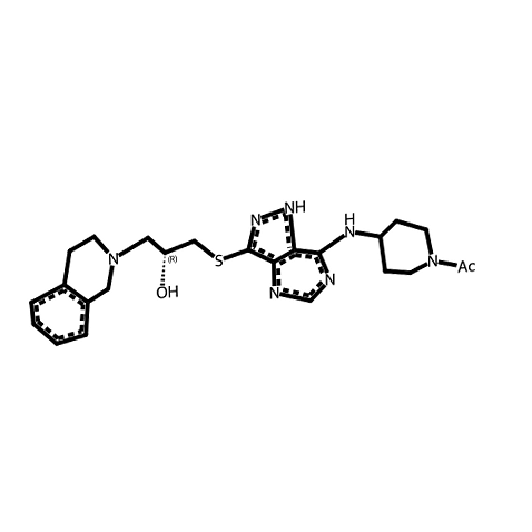 CC(=O)N1CCC(Nc2ncnc3c(SC[C@H](O)CN4CCc5ccccc5C4)n[nH]c23)CC1